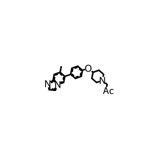 CC(=O)CN1CCC(Oc2ccc(-c3cn4ccnc4cc3C)cc2)CC1